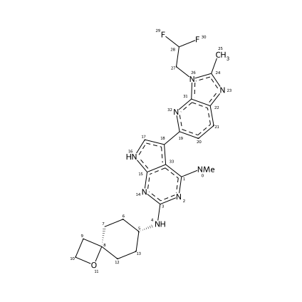 CNc1nc(N[C@H]2CC[C@]3(CCO3)CC2)nc2[nH]cc(-c3ccc4nc(C)n(CC(F)F)c4n3)c12